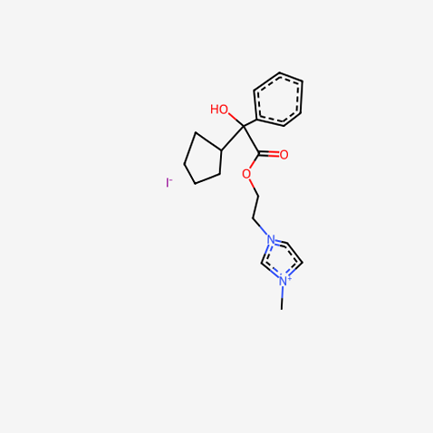 C[n+]1ccn(CCOC(=O)C(O)(c2ccccc2)C2CCCC2)c1.[I-]